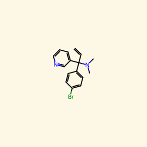 C=CC(c1ccc(Br)cc1)(c1cccnc1)N(C)C